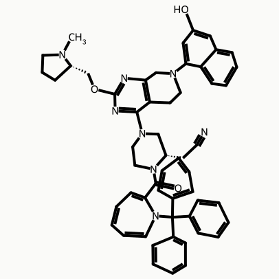 CN1CCC[C@H]1COc1nc2c(c(N3CCN(C(=O)C4=CC=CC=CN4C(c4ccccc4)(c4ccccc4)c4ccccc4)[C@@H](CC#N)C3)n1)CCN(c1cc(O)cc3ccccc13)C2